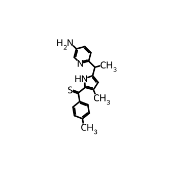 Cc1ccc(C(=S)c2[nH]c(C(C)c3ccc(N)cn3)cc2C)cc1